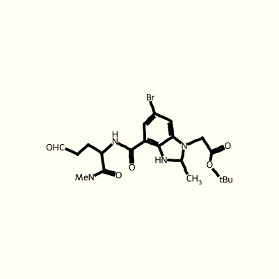 CNC(=O)C(CCC=O)NC(=O)c1cc(Br)cc2c1NC(C)N2CC(=O)OC(C)(C)C